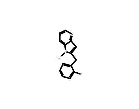 Cn1c(Cc2ccccc2Cl)cc2ncccc21